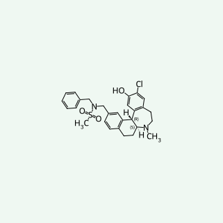 CN1CCc2cc(Cl)c(O)cc2[C@H]2c3cc(CN(Cc4ccccc4)S(C)(=O)=O)ccc3CC[C@@H]21